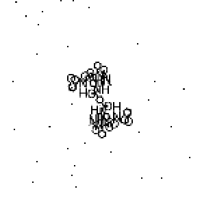 CN[C@@H](C)C(=O)N[C@H](C(=O)N1C[C@@H](NC(=O)C2CCC(C(=O)N[C@H]3C[C@@H](C(=O)N[C@@H]4CCOc5ccccc54)N(C(=O)[C@@H](NC(=O)[C@H](C)NC)C4CCCCC4)C3)CC2)C[C@H]1C(=O)N[C@@H]1CCOc2ccccc21)C1CCCCC1